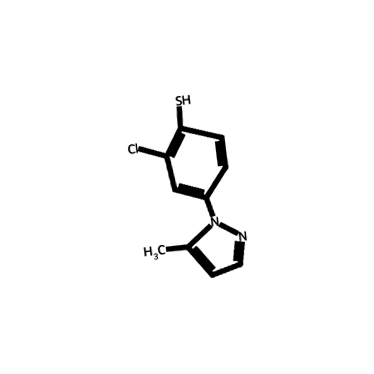 Cc1ccnn1-c1ccc(S)c(Cl)c1